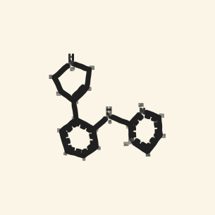 C1=C(c2ccccc2Nc2ncccn2)CCNC1